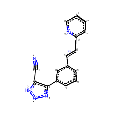 N#Cc1[nH]nnc1-c1cccc(/C=C/c2ccccn2)c1